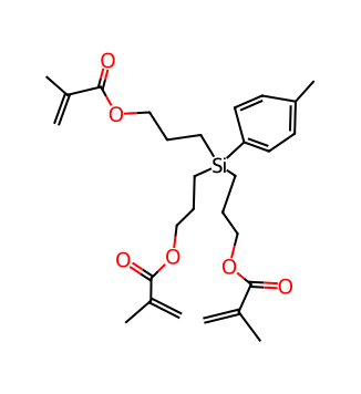 C=C(C)C(=O)OCCC[Si](CCCOC(=O)C(=C)C)(CCCOC(=O)C(=C)C)c1ccc(C)cc1